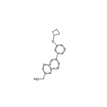 OCc1ccc2cc(-c3cccc(OC4CCC4)c3)ccc2c1